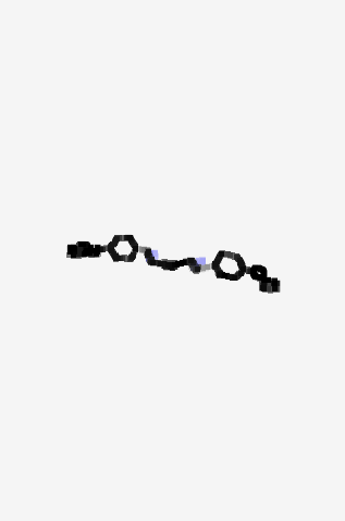 CCCC[C@H]1CC[C@H](/C=C/C#C/C=C/[C@H]2CC[C@H](OCC)CC2)CC1